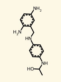 CC(O)Nc1ccc(NCc2cc(N)ccc2N)cc1